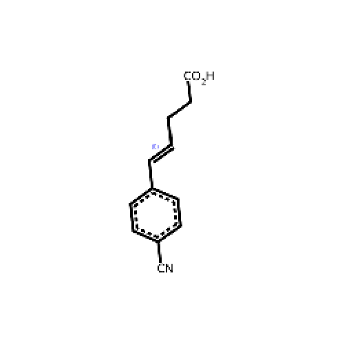 N#Cc1ccc(/C=C/CCC(=O)O)cc1